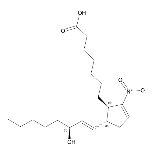 CCCCC[C@H](O)C=C[C@H]1CC=C([N+](=O)[O-])[C@@H]1CCCCCCC(=O)O